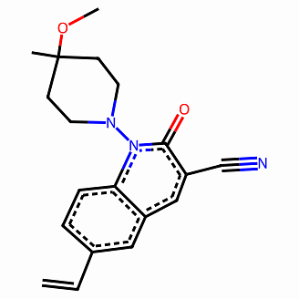 C=Cc1ccc2c(c1)cc(C#N)c(=O)n2N1CCC(C)(OC)CC1